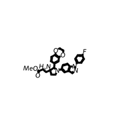 COC(=O)CCC1(N)CCN(c2ccc3c(cnn3-c3ccc(F)cc3)c2)C1c1ccc2c(c1)OCCO2